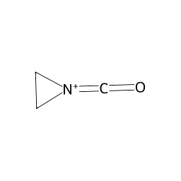 O=C=[N+]1CC1